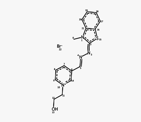 Cn1c(=NN=Cc2ccc[n+](CCO)c2)sc2ccccc21.[Br-]